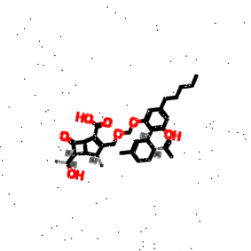 C=C(C)[C@@H]1CCC(C)=C[C@H]1c1c(O)cc(CCCCC)cc1OCOCC1=C(C(=O)O)C2C(=O)[C@H]([C@@H](C)O)C2[C@H]1C